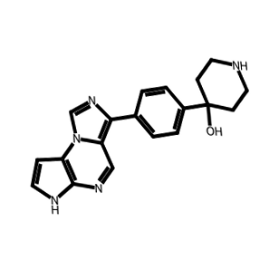 OC1(c2ccc(-c3ncn4c3cnc3[nH]ccc34)cc2)CCNCC1